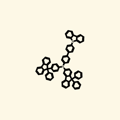 c1ccc(C2(c3ccc(N(c4ccc(-c5ccc(-n6c7ccccc7c7ccccc76)cc5)cc4)c4ccc5c(c4)-c4ccccc4C5(c4ccccc4)c4ccccc4)cc3)c3ccccc3-c3ccccc32)cc1